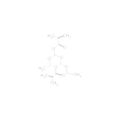 C=C(C)C(=O)OC(OCC)OC(OCC)OC(=O)C(=C)C